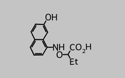 CCC(ONc1cccc2ccc(O)cc12)C(=O)O